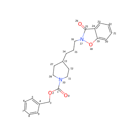 O=C(OCc1ccccc1)N1CCC(CCCn2oc3ccccc3c2=O)CC1